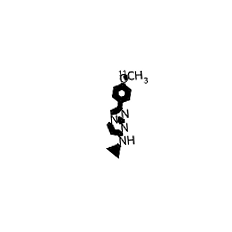 [11CH3]Oc1ccc(-c2cn3ccc(NC4CC4)nc3n2)cc1